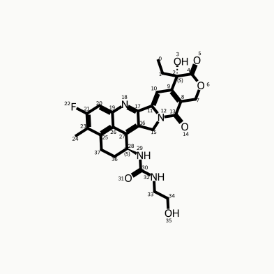 CC[C@@]1(O)C(=O)OCc2c1cc1n(c2=O)Cc2c-1nc1cc(F)c(C)c3c1c2[C@@H](NC(=O)NCCO)CC3